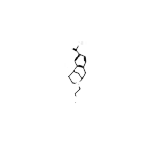 COCCN1CC[C@]2(C)CC1Cc1ccc(C(N)=O)cc12